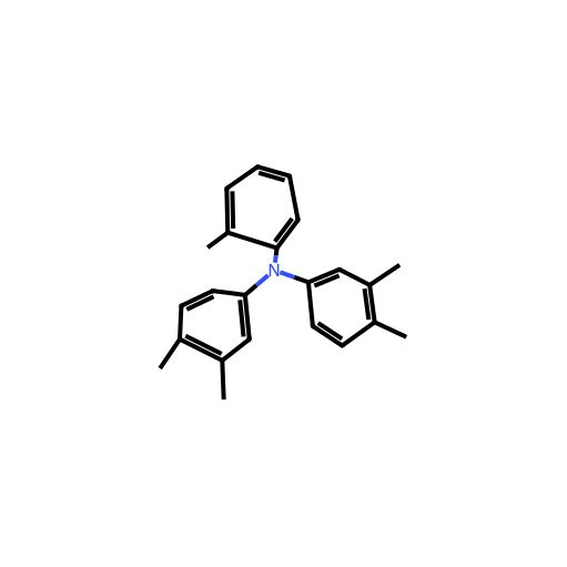 Cc1ccc(N(c2ccc(C)c(C)c2)c2ccccc2C)cc1C